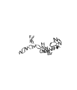 COc1cc(N2CCC(N3CCN(C)CC3)CC2)c(-c2cnn(C(F)F)c2)cc1Nc1ncc(Br)c(Nc2ccc3nccnc3c2P(C)C)n1